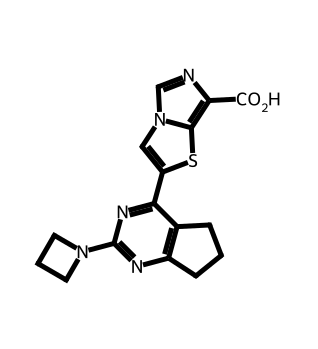 O=C(O)c1ncn2cc(-c3nc(N4CCC4)nc4c3CCC4)sc12